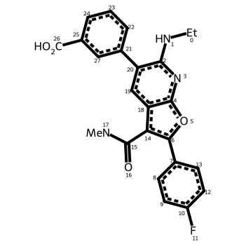 CCNc1nc2oc(-c3ccc(F)cc3)c(C(=O)NC)c2cc1-c1cccc(C(=O)O)c1